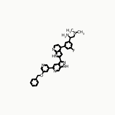 CN(C)CC(N)c1cc(F)cc(-c2ccnc3[nH]c(-c4n[nH]c5cnc(-c6cncc(OCc7ccccc7)c6)cc45)cc23)c1